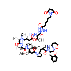 CC[C@H](C)[C@@H]([C@@H](CC(=O)N1CCC[C@H]1[C@H](OC)[C@@H](C)C(=O)N[C@@H](Cc1ccccc1)C(=O)N1CCCCO1)OC)N(C)C(=O)[C@@H](NC(=O)[C@H](C(C)C)N(C)CCCC(=O)O[C@H](C)[C@H](N)C(=O)NNC(=O)CCCCCN1C(=O)C=CC1=O)C(C)C